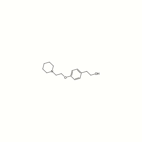 OCCc1ccc(OCCN2CCCCC2)cc1